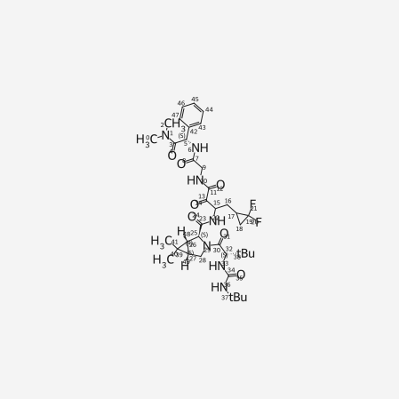 CN(C)C(=O)[C@@H](NC(=O)CNC(=O)C(=O)C(CC1CC1(F)F)NC(=O)[C@@H]1[C@@H]2[C@H](CN1C(=O)[C@@H](NC(=O)NC(C)(C)C)C(C)(C)C)C2(C)C)c1ccccc1